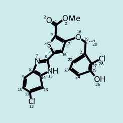 COC(=O)c1sc(-c2nc3ccc(Cl)cc3[nH]2)cc1O[C@H](C)c1cccc(O)c1Cl